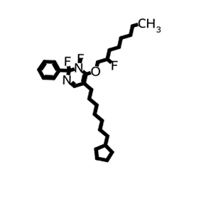 CCCCCCC(F)COC1=C(CCCCCCCC2CCCC2)C=NC(F)(c2ccccc2)N1F